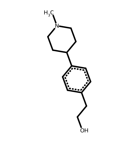 CN1CCC(c2ccc(CCO)cc2)CC1